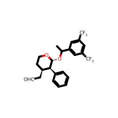 CC(O[C@H]1OCC[C@H](CC=O)[C@@H]1c1ccccc1)c1cc(C(F)(F)F)cc(C(F)(F)F)c1